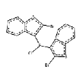 ClP(c1c(Br)sc2ccccc12)c1c(Br)sc2ccccc12